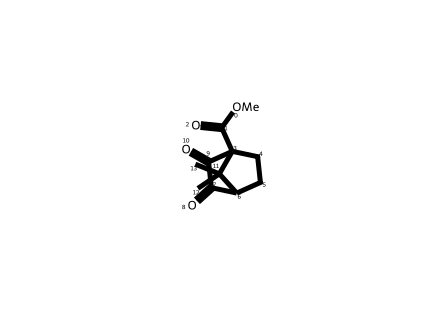 COC(=O)C12CCC(C(=O)C1=O)C2(C)C